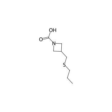 CCCSCC1CN(C(=O)O)C1